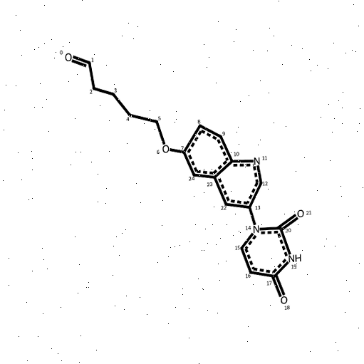 O=CCCCCOc1ccc2ncc(-n3ccc(=O)[nH]c3=O)cc2c1